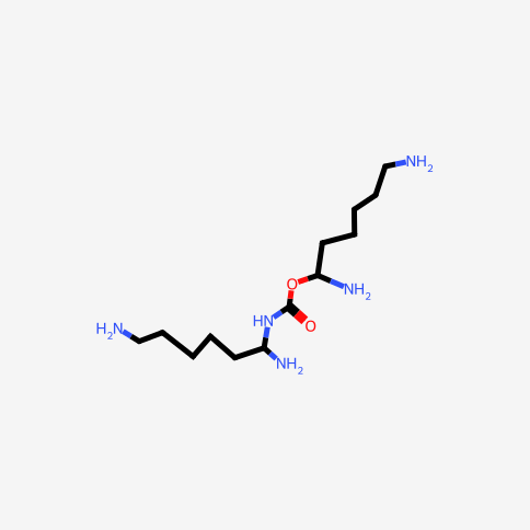 NCCCCCC(N)NC(=O)OC(N)CCCCCN